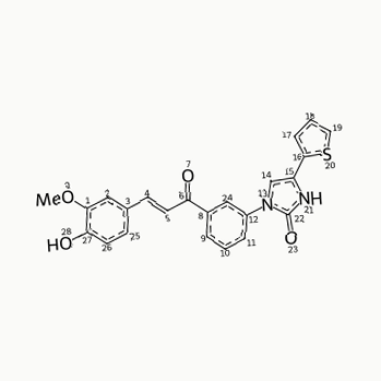 COc1cc(C=CC(=O)c2cccc(-n3cc(-c4cccs4)[nH]c3=O)c2)ccc1O